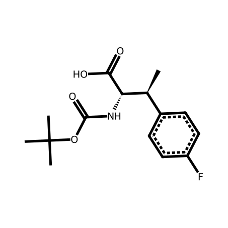 C[C@@H](c1ccc(F)cc1)[C@H](NC(=O)OC(C)(C)C)C(=O)O